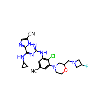 N#Cc1cc(Nc2nc(NC3CC3)c3ncc(C#N)n3n2)c(Cl)c(N2CCOC(CN3CC(F)C3)C2)c1